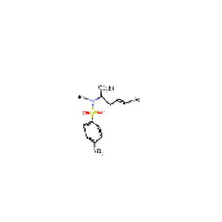 CCOC(=O)C(C/C=C/C(C)=O)N(C(C)C)S(=O)(=O)c1ccc([N+](=O)[O-])cc1